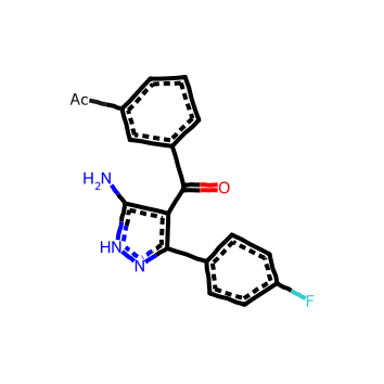 CC(=O)c1cccc(C(=O)c2c(-c3ccc(F)cc3)n[nH]c2N)c1